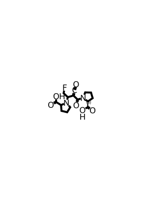 O=C=C(C(=O)N1CCC[C@H]1C(=O)O)C(CF)N1CCCC1C(=O)O